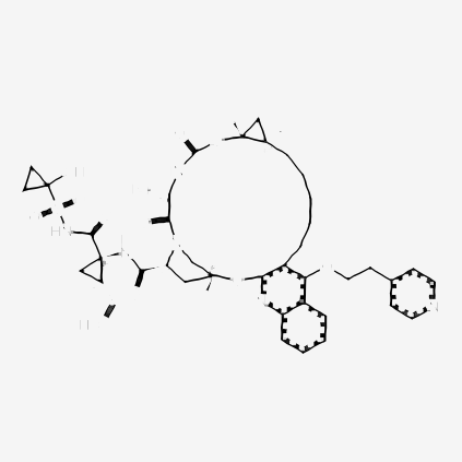 C=C[C@@H]1C[C@]1(NC(=O)[C@@H]1C[C@@H]2CN1C(=O)[C@H](C(C)(C)C)NC(=O)O[C@@H]1C[C@H]1CCCCCc1c(nc3ccccc3c1OCCc1ccncc1)O2)C(=O)NS(=O)(=O)C1(C)CC1